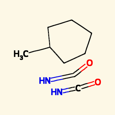 CC1CCCCC1.N=C=O.N=C=O